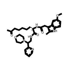 COc1ccc2[nH]c(C)c(CC(=O)N[C@@H](CCCCCC(C)=O)C(=O)NCC(c3ccccn3)N3CCOCC3)c2c1